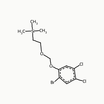 C[Si](C)(C)CCOCOc1cc(Cl)c(Cl)cc1Br